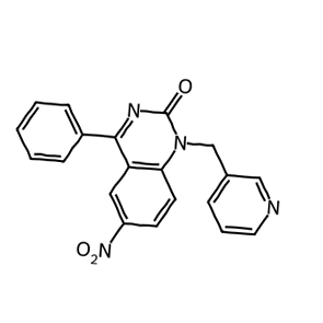 O=c1nc(-c2ccccc2)c2cc([N+](=O)[O-])ccc2n1Cc1cccnc1